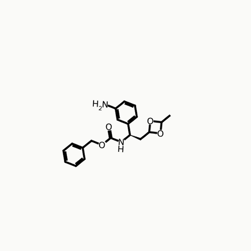 CC1OC(C[C@@H](NC(=O)OCc2ccccc2)c2cccc(N)c2)O1